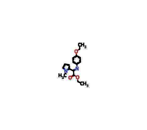 CCOC(=O)/C(=N/c1ccc(OCC)cc1)c1cccn1C